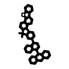 CC1(C)c2cc(-c3ccc(-c4c5ccccc5cc5ccccc45)c4ccccc34)ccc2-c2c1ccc1c2ccc2c3ccccc3oc12